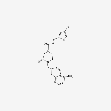 Nc1ccnc2cc(CN3CCN(C(=O)C=Cc4cc(Br)cs4)CC3=O)ccc12